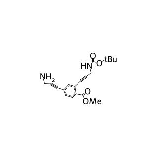 COC(=O)c1ccc(C#CCN)cc1C#CCNC(=O)OC(C)(C)C